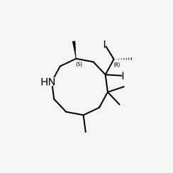 CC1CCNC[C@@H](C)CC(I)([C@@H](C)I)C(C)(C)C1